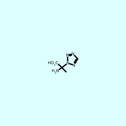 CC(N)(C(=O)O)n1ncnn1